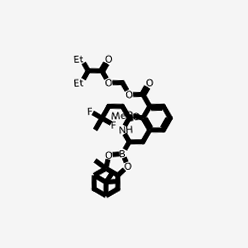 CCC(CC)C(=O)OCOC(=O)c1cccc(CC(NC(=O)CCC(C)(F)F)B2OC3CC4CC(C4(C)C)C3(C)O2)c1OC